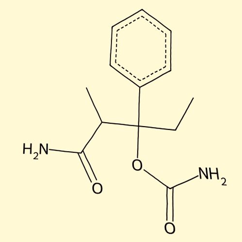 CCC(OC(N)=O)(c1ccccc1)C(C)C(N)=O